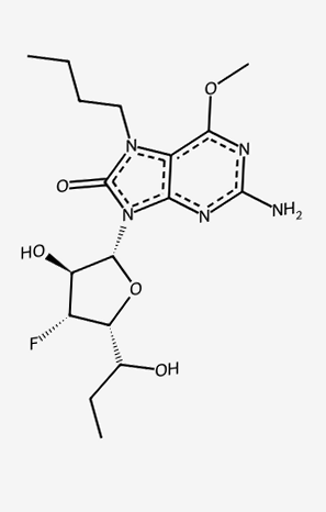 CCCCn1c(=O)n([C@@H]2O[C@H](C(O)CC)[C@H](F)[C@H]2O)c2nc(N)nc(OC)c21